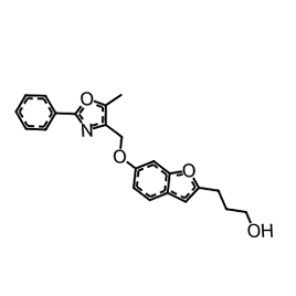 Cc1oc(-c2ccccc2)nc1COc1ccc2cc(CCCO)oc2c1